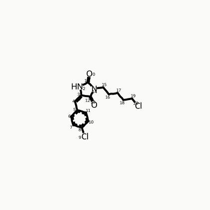 O=C1NC(=Cc2ccc(Cl)cc2)C(=O)N1CCCCCCl